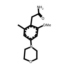 COc1cc(N2CCOCC2)cc(C)c1CC(N)=O